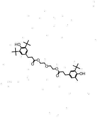 Cc1cc(CCC(=O)OCCOCCOC(=O)CCc2cc(C(C)(C)C)c(O)c(C(C)(C)C)c2)cc(C(C)(C)C)c1O